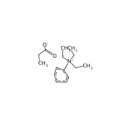 CCC(=O)[O-].CC[N+](CC)(CC)c1ccccc1